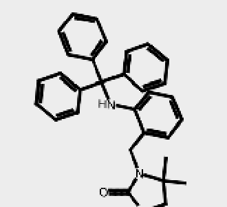 CC1(C)COC(=O)N1Cc1ccccc1NC(c1ccccc1)(c1ccccc1)c1ccccc1